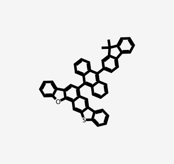 CC1(C)c2ccccc2-c2ccc(-c3c4ccccc4c(-c4cc5c6ccccc6oc5c5cc6sc7ccccc7c6cc45)c4ccccc34)cc21